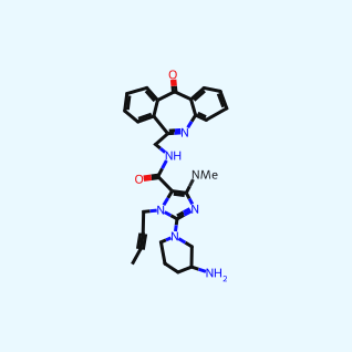 CC#CCn1c(N2CCCC(N)C2)nc(NC)c1C(=O)NCc1nc2ccccc2c(=O)c2ccccc12